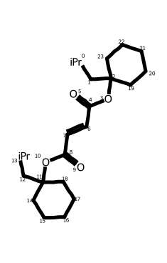 CC(C)CC1(OC(=O)/C=C/C(=O)OC2(CC(C)C)CCCCC2)CCCCC1